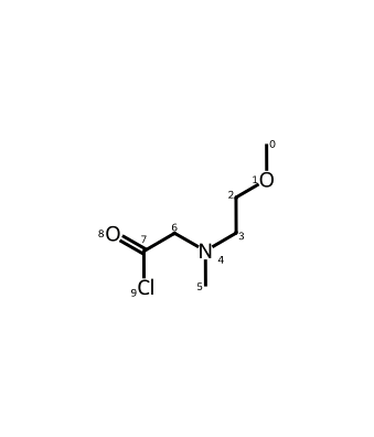 COCCN(C)CC(=O)Cl